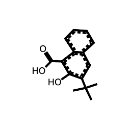 CC(C)(C)c1cc2ccccc2c(C(=O)O)c1O